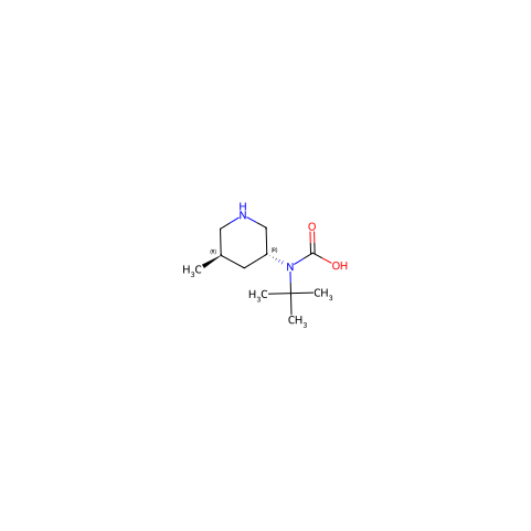 C[C@H]1CNC[C@H](N(C(=O)O)C(C)(C)C)C1